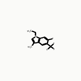 CCn1cc(C)c2cc(C(F)(F)F)c(F)cc21